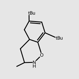 CC1CC2CC(C(C)(C)C)=CC(C(C)(C)C)=C2ON1